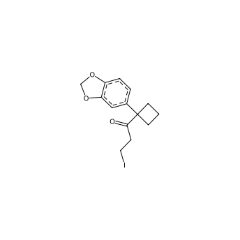 O=C(CCI)C1(c2ccc3c(c2)OCO3)CCC1